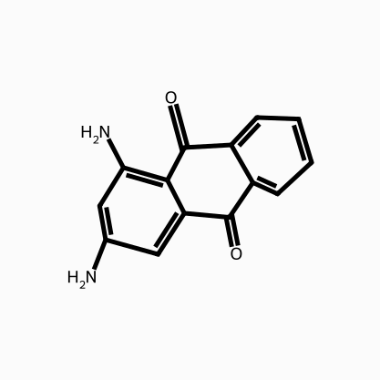 Nc1cc(N)c2c(c1)C(=O)c1ccccc1C2=O